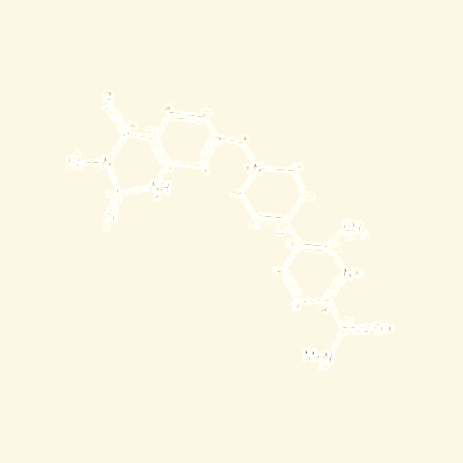 CCn1c(=O)[nH]c2cc(CN3CC=C(c4ccc(C(=O)NC)nc4C)CC3)ccc2c1=S